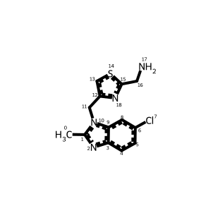 Cc1nc2ccc(Cl)cc2n1Cc1csc(CN)n1